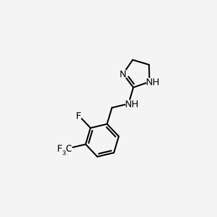 Fc1c(CNC2=NCCN2)cccc1C(F)(F)F